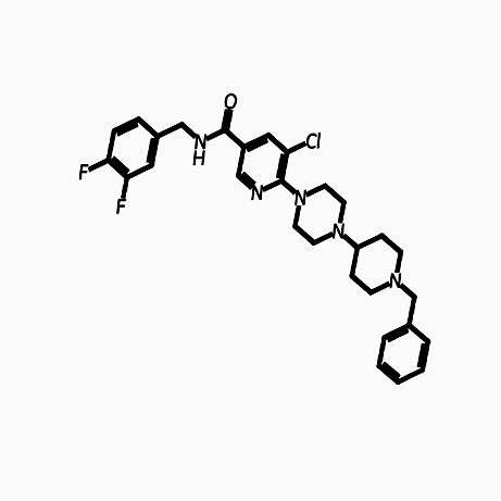 O=C(NCc1ccc(F)c(F)c1)c1cnc(N2CCN(C3CCN(Cc4ccccc4)CC3)CC2)c(Cl)c1